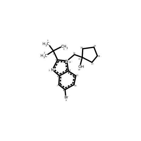 CC(C)(C)c1nc2cc(Br)ccc2n1CC1(O)CCCC1